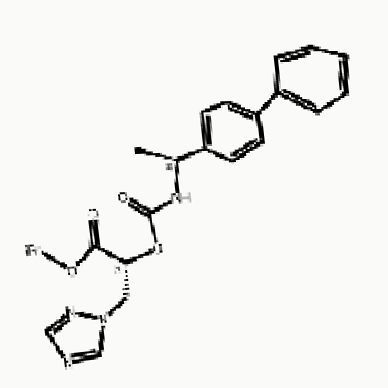 CC(C)OC(=O)[C@@H](Cn1cncn1)OC(=O)N[C@@H](C)c1ccc(-c2ccccc2)cc1